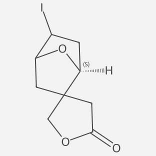 O=C1CC2(CO1)CC1O[C@H]2CC1I